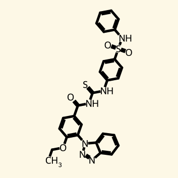 CCOc1ccc(C(=O)NC(=S)Nc2ccc(S(=O)(=O)Nc3ccccc3)cc2)cc1-n1nnc2ccccc21